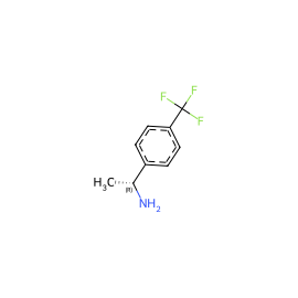 C[C@@H](N)c1ccc(C(F)(F)F)cc1